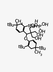 CC(C)(C)C1=C(OC(C2=C(C(C)(C)C)CC(C)(C(C)(C)C)C=C2)C(CO)(CO)CO)C=CC(C)(C(C)(C)C)C1.OP(O)O